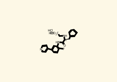 CCOC(=O)CN[C@@H](Cc1ccccc1)C(=O)Nc1cc(-c2ccncc2)ccc1F.Cl.Cl